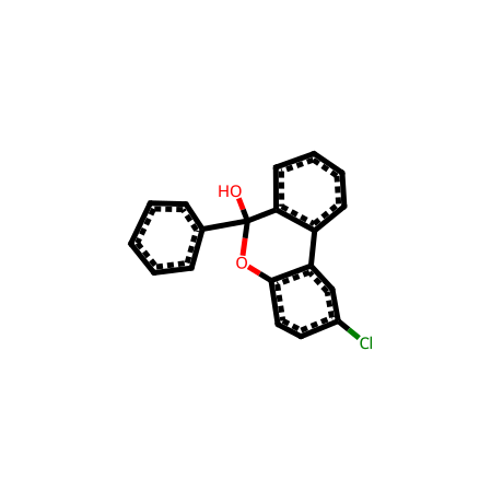 OC1(c2ccccc2)Oc2ccc(Cl)cc2-c2ccccc21